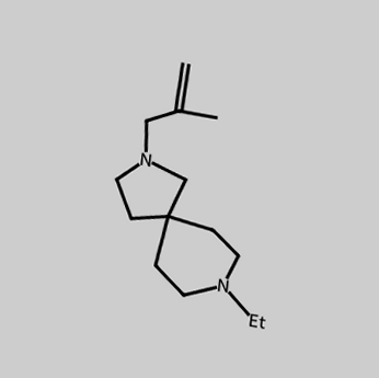 C=C(C)CN1CCC2(CCN(CC)CC2)C1